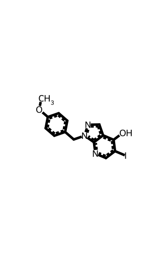 COc1ccc(Cn2ncc3c(O)c(I)cnc32)cc1